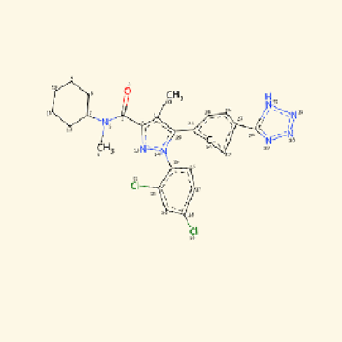 Cc1c(C(=O)N(C)C2CCCCC2)nn(-c2ccc(Cl)cc2Cl)c1-c1ccc(-c2nnn[nH]2)cc1